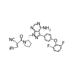 CC(C)C=C(C#N)C(=O)N1CCC[C@H]1Cn1nc(-c2ccc(Oc3c(F)cccc3F)cc2)c2c(N)ncnc21